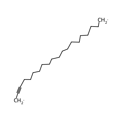 [CH2]C#CCCCCCCCCCCCCCCCC[CH2]